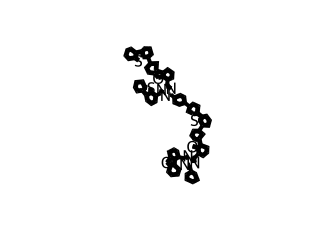 c1ccc(-c2nc(-c3cccc4c3oc3ccc(-c5cccc6c5sc5cc(-c7ccc(-c8nc(-c9cccc%10c9oc9ccc(-c%11cccc%12c%11sc%11ccccc%11%12)cc9%10)nc(-c9cccc%10c9sc9ccccc9%10)n8)cc7)ccc56)cc34)nc(-c3cccc4oc5ccccc5c34)n2)cc1